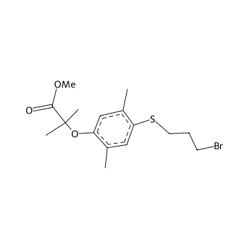 COC(=O)C(C)(C)Oc1cc(C)c(SCCCBr)cc1C